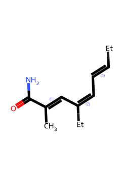 CC/C=C/C=C(\C=C(/C)C(N)=O)CC